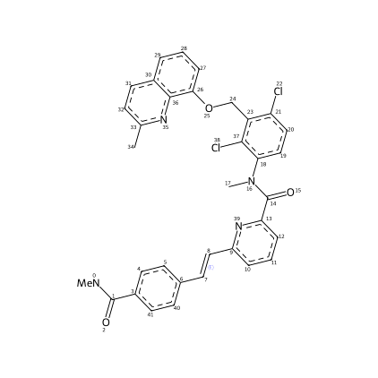 CNC(=O)c1ccc(/C=C/c2cccc(C(=O)N(C)c3ccc(Cl)c(COc4cccc5ccc(C)nc45)c3Cl)n2)cc1